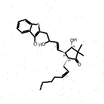 CCCC/C=C\C[C@H]1C(=O)C(C)(C)[C@@H](O)[C@@H]1/C=C/C(O)Cc1sc2ccccc2c1Cl